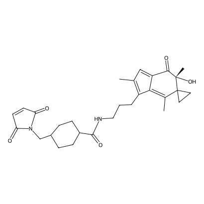 CC1=C(CCCNC(=O)C2CCC(CN3C(=O)C=CC3=O)CC2)C2=C(C)C3(CC3)[C@@](C)(O)C(=O)C2=C1